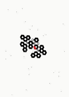 c1cc2c3c(c1)Oc1cc(N(c4cc5ccccc5c5ccccc45)c4cc5ccccc5c5ccccc45)c4ccccc4c1B3c1c(cc(N(c3cc4ccccc4c4ccccc34)c3cc4ccccc4c4ccccc34)c3ccccc13)O2